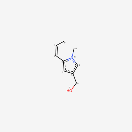 C/C=C\c1cc(CO)cn1C